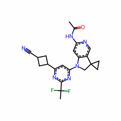 CC(=O)Nc1cc2c(cn1)C1(CC1)CN2c1cc(C2CC(C#N)C2)nc(C(C)(F)F)n1